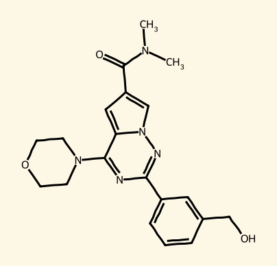 CN(C)C(=O)c1cc2c(N3CCOCC3)nc(-c3cccc(CO)c3)nn2c1